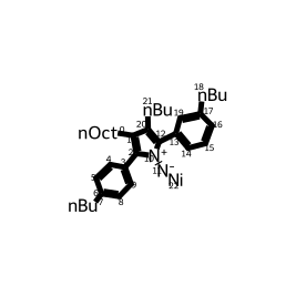 CCCCCCCCC1=C(c2ccc(CCCC)cc2)[N+](=[N-])C(c2cccc(CCCC)c2)=C1CCCC.[Ni]